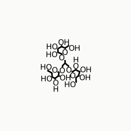 OCC1OC(OCC(COC2OC(CO)C(O)C(O)C2O)COC2OC(CO)C(O)C(O)C2O)C(O)C(O)C1O